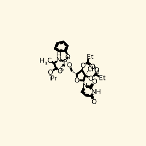 CCC(=O)O[C@@H]1[C@@H](COP(=S)(NC(C)C(=O)OC(C)C)Oc2ccccc2)O[C@@H](n2ccc(=O)[nH]c2=O)[C@]1(C)OC(=O)CC